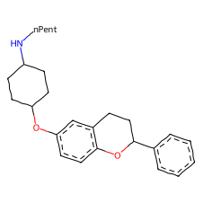 CCCCCNC1CCC(Oc2ccc3c(c2)CCC(c2ccccc2)O3)CC1